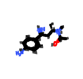 CC(=O)N(C)[C@@H](C)CC(=N)c1ccc(N)cc1